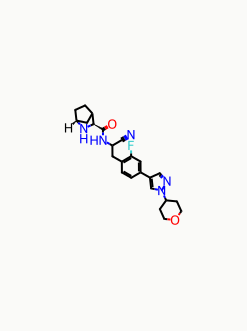 N#CC(Cc1ccc(-c2cnn(C3CCOCC3)c2)cc1F)NC(=O)[C@H]1N[C@@H]2CCC1C2